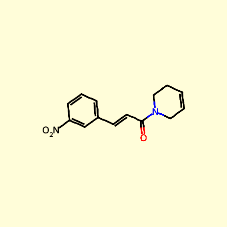 O=C(/C=C/c1cccc([N+](=O)[O-])c1)N1CC=CCC1